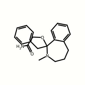 CN1CCCc2ccccc2C1(Cc1ccccc1)OCC(N)=O